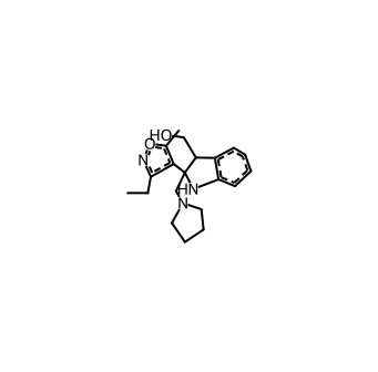 CCc1noc(C)c1C1(CN2CCCC2)Nc2ccccc2C1CO